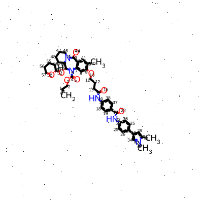 C=CCOC(=O)N1c2cc(OCCCC(=O)Nc3ccc(C(=O)Nc4ccc(-c5cc(C)n(C)c5)cc4)cc3)c(C)cc2C(=O)N2CCCC[C@H]2C1OC1CCCCO1